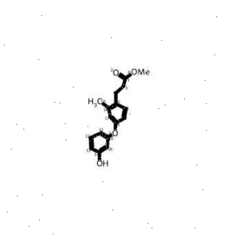 COC(=O)CCc1ccc(Oc2cccc(O)c2)cc1C